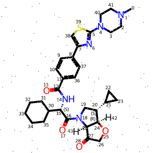 CN1CCN(c2nc(-c3ccc(C(=O)N[C@H](C(=O)N4C[C@H](C5CC5)[C@H]5OCC(=O)[C@H]54)C4CCCCC4)cc3)cs2)CC1